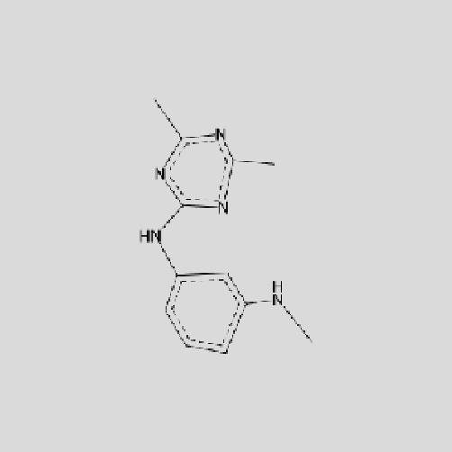 CNc1cccc(Nc2nc(C)nc(C)n2)c1